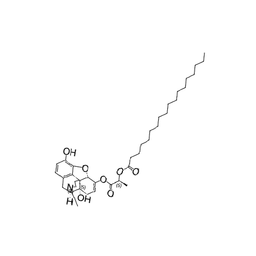 CCCCCCCCCCCCCCCCCC(=O)O[C@@H](C)C(=O)OC1=CC[C@@]2(O)[C@H]3Cc4ccc(O)c5c4C2(CCN3C)C1O5